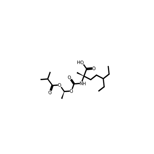 CCC(CC)CC[C@](C)(NC(=O)O[C@@H](C)OC(=O)C(C)C)C(=O)O